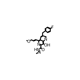 COCC=Cc1nc(C(=O)NN(C)C)c(O)c2ncc(Cc3ccc(F)cc3)cc12